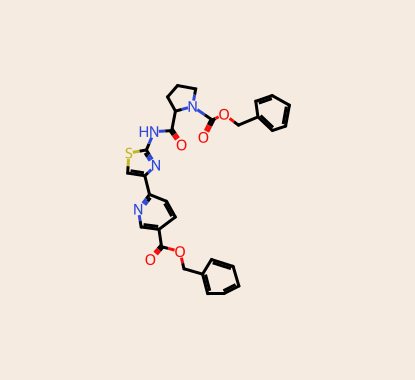 O=C(OCc1ccccc1)c1ccc(-c2csc(NC(=O)C3CCCN3C(=O)OCc3ccccc3)n2)nc1